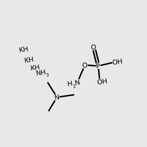 CN(C)C.N.NOP(=O)(O)O.[KH].[KH].[KH]